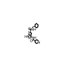 O=C(Nc1n[nH]c2sc(C(=O)NCc3ccccc3)cc12)c1ccncc1